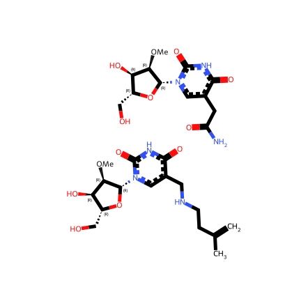 C=C(C)CCNCc1cn([C@@H]2O[C@H](CO)[C@@H](O)[C@H]2OC)c(=O)[nH]c1=O.CO[C@@H]1[C@H](O)[C@@H](CO)O[C@H]1n1cc(CC(N)=O)c(=O)[nH]c1=O